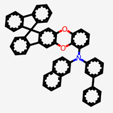 c1ccc(-c2cccc(N(c3ccc4ccccc4c3)c3cccc4c3Oc3cc5c(cc3O4)C3(c4ccccc4-c4ccccc43)c3ccccc3-5)c2)cc1